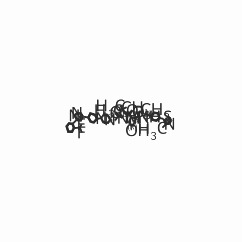 Cc1ncsc1-c1ccc([C@H](C)NC(=O)[C@@H]2C[C@@H](O)CN2C(=O)[C@@H](NC(=O)CN2CCN(c3ccc(-c4cnnc(-c5ccccc5C(F)F)c4)cc3)CC2)C(C)(C)C)cc1